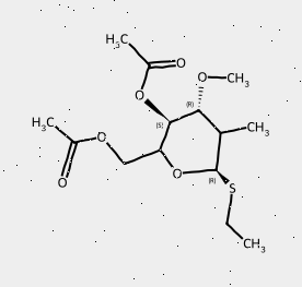 CCS[C@H]1OC(COC(C)=O)[C@@H](OC(C)=O)[C@H](OC)C1C